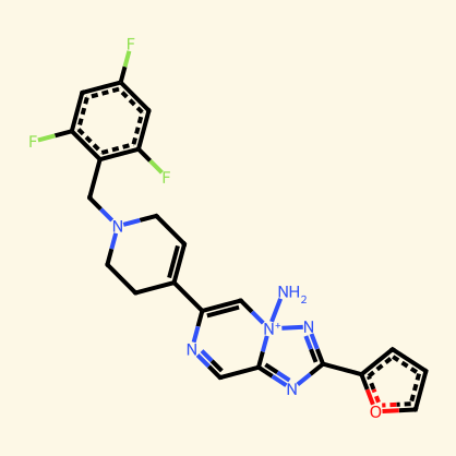 N[N+]12C=C(C3=CCN(Cc4c(F)cc(F)cc4F)CC3)N=CC1=NC(c1ccco1)=N2